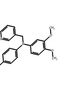 COc1ccc(N(Cc2cccnc2)c2ccc(O)cc2)cc1OC